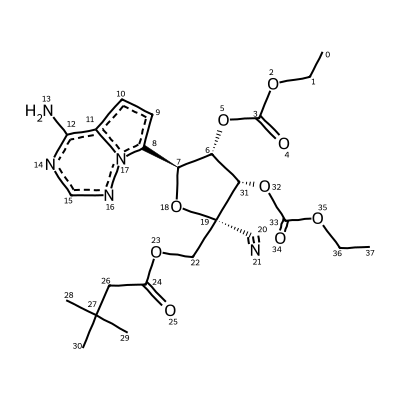 CCOC(=O)O[C@H]1[C@H](c2ccc3c(N)ncnn23)O[C@](C#N)(COC(=O)CC(C)(C)C)[C@H]1OC(=O)OCC